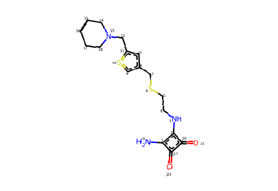 Nc1c(NCCSCc2csc(CN3CCCCC3)c2)c(=O)c1=O